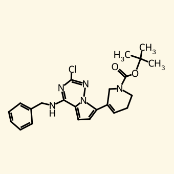 CC(C)(C)OC(=O)N1CCC=C(c2ccc3c(NCc4ccccc4)nc(Cl)nn23)C1